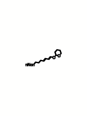 CCCCCCCCCCCCC=CC=COC1CCCCO1